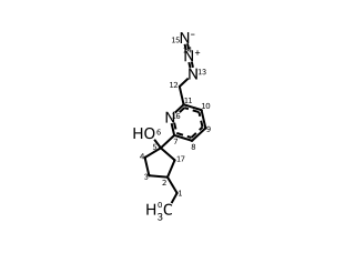 CCC1CCC(O)(c2cccc(CN=[N+]=[N-])n2)C1